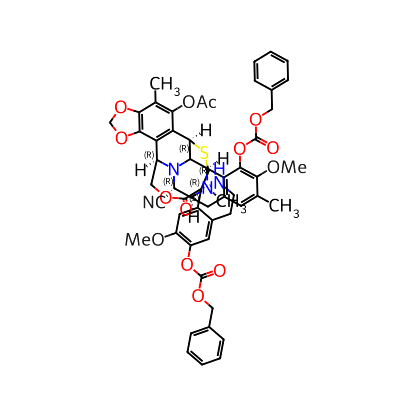 COc1cc2c(cc1OC(=O)OCc1ccccc1)CCN[C@]21CS[C@@H]2c3c(OC(C)=O)c(C)c4c(c3[C@H](COC1=O)N1C2[C@H]2c3c(cc(C)c(OC)c3OC(=O)OCc3ccccc3)C[C@@H]([C@@H]1C#N)N2C)OCO4